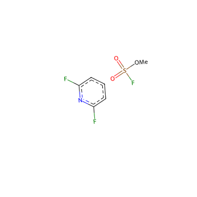 COS(=O)(=O)F.Fc1cccc(F)n1